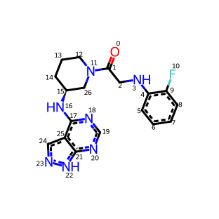 O=C(CNc1ccccc1F)N1CCC[C@H](Nc2ncnc3[nH]ncc23)C1